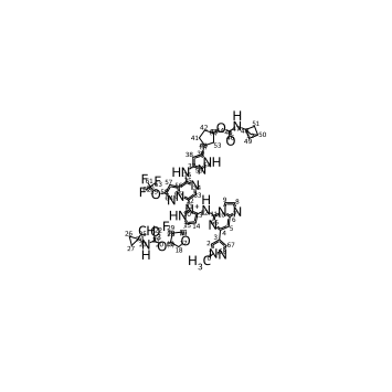 Cn1cc(-c2cc3nccn3c(Nc3cc([C@@H]4OC[C@H](OC(=O)NC5(C)CC5)[C@@H]4F)[nH][n+]3-c3cnc(Nc4cc([C@H]5CC[C@@H](OC(=O)NC67CC(C6)C7)C5)[nH]n4)c4cc(OC(F)(F)F)nn34)n2)cn1